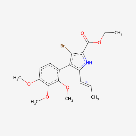 C/C=C/c1[nH]c(C(=O)OCC)c(Br)c1-c1ccc(OC)c(OC)c1OC